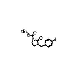 CC(C)(C)OC(=O)N1CCC(Cc2ccc(I)cc2)C1=O